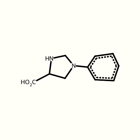 O=C(O)C1CN(c2ccccc2)CN1